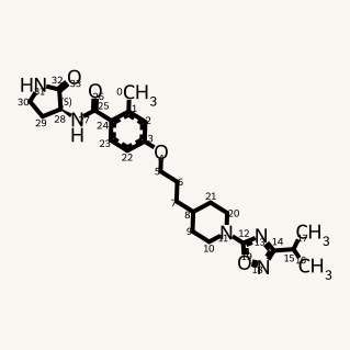 Cc1cc(OCCCC2CCN(c3nc(C(C)C)no3)CC2)ccc1C(=O)N[C@H]1CCNC1=O